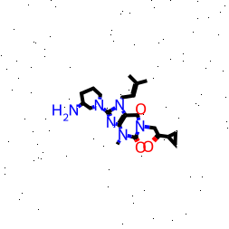 CC(C)=CCn1c(N2CCCC(N)C2)nc2c1c(=O)n(CC(=O)C1CC1)c(=O)n2C